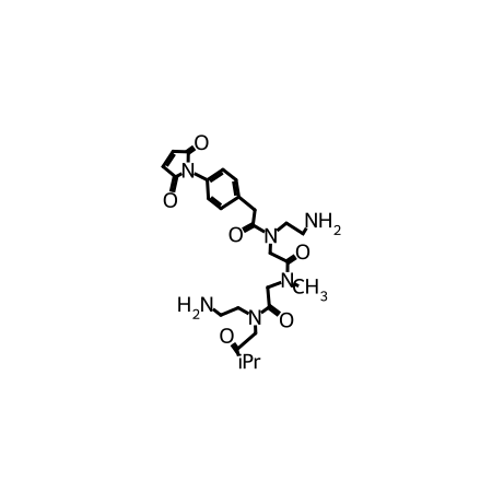 CC(C)C(=O)CN(CCN)C(=O)CN(C)C(=O)CN(CCN)C(=O)Cc1ccc(N2C(=O)C=CC2=O)cc1